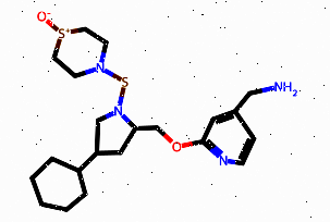 NCc1ccnc(OCC2CC(C3CCCCC3)CN2SN2CC[S+]([O-])CC2)c1